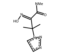 CNC(=O)/C(=N/O)C(C)(C)n1ccnn1